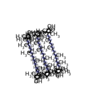 CC1=C(/C=C/C(C)=C/C=C/C(C)=C/C=C/C=C(C)/C=C/C=C(C)/C=C/C2=C(C)C(=O)C(O)CC2(C)C)C(C)(C)CC(O)C1=O.CC1=C(/C=C/C(C)=C/C=C/C(C)=C/C=C/C=C(C)/C=C/C=C(C)/C=C/C2=C(C)C(=O)CCC2(C)C)C(C)(C)CCC1=O.CC1=C(/C=C/C(C)=C/C=C/C(C)=C/C=C/C=C(C)/C=C/C=C(C)/C=C/C2=C(C)C[C@@H](O)CC2(C)C)C(C)(C)C[C@H](O)C1